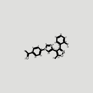 CC(=O)c1ccc(-n2cnc(-c3c(-c4ccccc4F)noc3C)c2)cc1